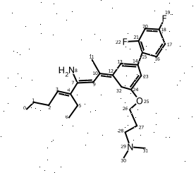 CCC/C=C(CC)/C(N)=C/C(C)=C1/C=C(c2ccc(F)cc2F)C=C(OCCCN(C)C)C1